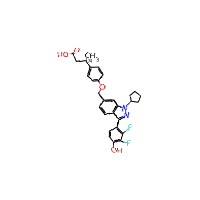 C[C@@H](CC(=O)O)c1ccc(OCc2ccc3c(-c4ccc(O)c(F)c4F)nn(C4CCCC4)c3c2)cc1